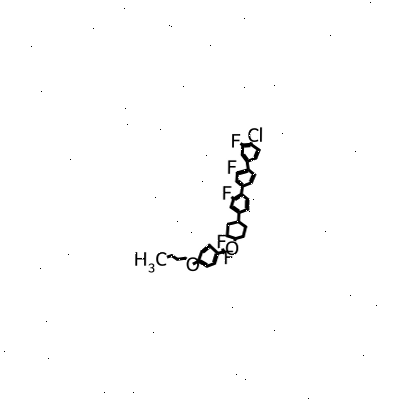 CCCCOc1ccc(C(F)(F)OC2CCC(c3ccc(-c4ccc(-c5ccc(Cl)c(F)c5)c(F)c4)c(F)c3)CC2)cc1